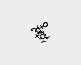 COC(=O)[C@H](C(C)C)N(C)C(=O)[C@@H](NC(=O)C(N(C)BC=O)C(C)(C)c1ccccc1)C(C)(C)C